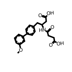 COc1cccc(-c2ccc(CC(CC(=O)O)NC(=O)CCC(=O)O)cc2)c1